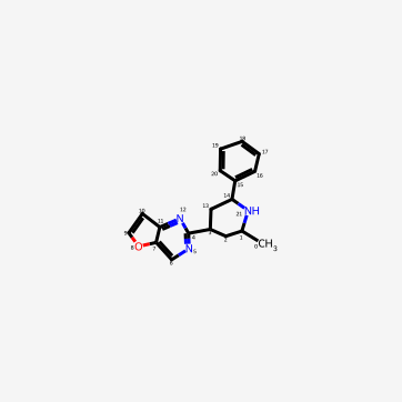 CC1CC(c2ncc3occc3n2)CC(c2ccccc2)N1